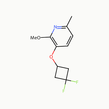 COc1nc(C)ccc1OC1CC(F)(F)C1